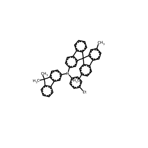 CCc1ccc(N(c2ccc3c(c2)-c2ccccc2C3(C)C)c2ccc3c(c2)C2(c4ccccc4-3)c3cc(C)ccc3-c3ccc(C)cc32)cc1